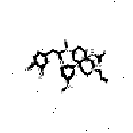 C=CCN1CC[C@@]2(c3cccc(OC)c3)C[C@H](N(C)C(=O)Cc3ccc(Cl)c(Cl)c3)CC[C@]2(OC(C)=O)C1